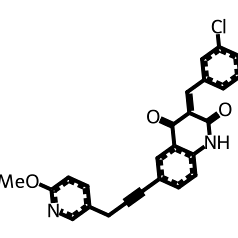 COc1ccc(CC#Cc2ccc3c(c2)C(=O)/C(=C/c2cccc(Cl)c2)C(=O)N3)cn1